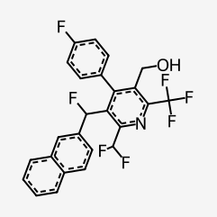 OCc1c(C(F)(F)F)nc(C(F)F)c(C(F)c2ccc3ccccc3c2)c1-c1ccc(F)cc1